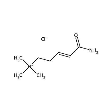 C[N+](C)(C)CCC=CC(N)=O.[Cl-]